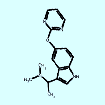 CC(c1c[nH]c2ccc(Oc3ncccn3)cc12)N(C)C